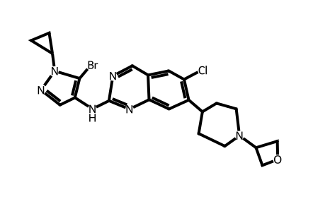 Clc1cc2cnc(Nc3cnn(C4CC4)c3Br)nc2cc1C1CCN(C2COC2)CC1